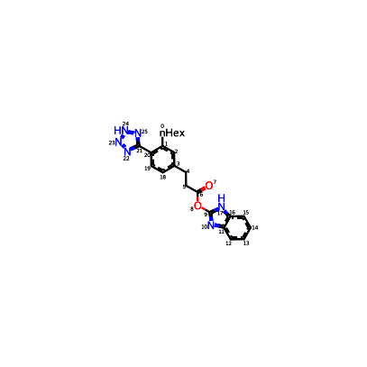 CCCCCCc1cc(CCC(=O)Oc2nc3ccccc3[nH]2)ccc1-c1nn[nH]n1